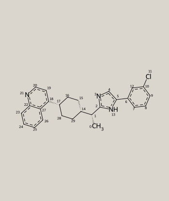 C[C@@H](c1ncc(-c2cccc(Cl)c2)[nH]1)[C@H]1CC[C@@H](c2ccnc3ccccc32)CC1